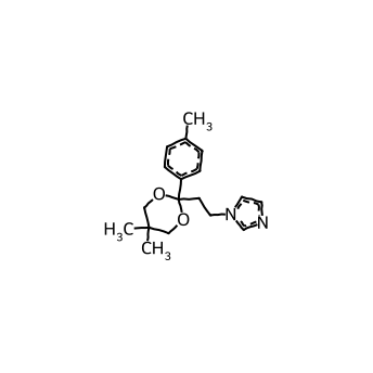 Cc1ccc(C2(CCn3ccnc3)OCC(C)(C)CO2)cc1